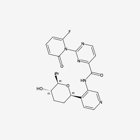 CC(C)[C@H]1O[C@@H](c2ccncc2NC(=O)c2ccnc(-n3c(F)cccc3=O)n2)CC[C@@H]1O